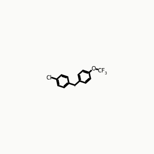 FC(F)(F)Oc1ccc([CH]c2ccc(Cl)cc2)cc1